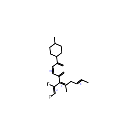 C=C(/C=C\C(=C)C1CCC(C)CC1)C(/C(F)=C/F)=C(/C)C/C=C/C